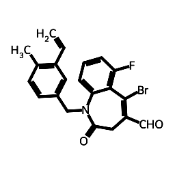 C=Cc1cc(CN2C(=O)CC(C=O)=C(Br)c3c(F)cccc32)ccc1C